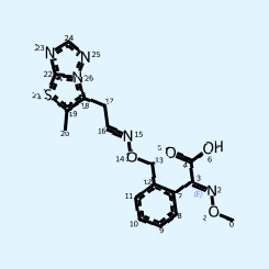 CO/N=C(/C(=O)O)c1ccccc1CON=CCc1c(C)sc2ncnn12